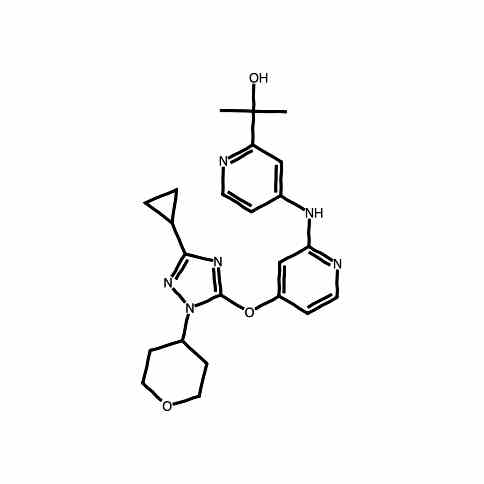 CC(C)(O)c1cc(Nc2cc(Oc3nc(C4CC4)nn3C3CCOCC3)ccn2)ccn1